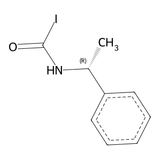 C[C@@H](NC(=O)I)c1ccccc1